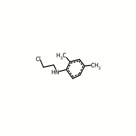 Cc1ccc(NCCCl)c(C)c1